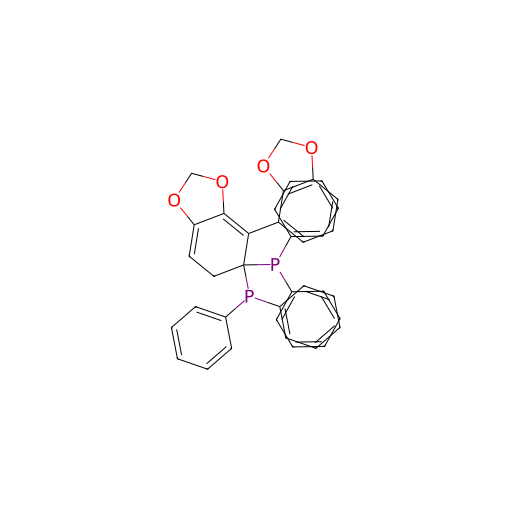 C1=C2OCOC2=C(c2cccc3c2OCO3)C(P(c2ccccc2)c2ccccc2)(P(c2ccccc2)c2ccccc2)C1